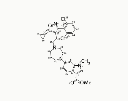 COC(=O)c1cn(C)c2cc(N3CCCN(CCc4c(-c5c(Cl)cccc5Cl)noc4C4CC4)CC3)ccc12